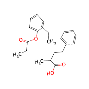 CC(CCc1ccccc1)C(=O)O.CCC(=O)Oc1ccccc1CC